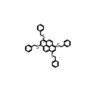 c1ccc(CSc2cc(SCc3ccccc3)c3ccc4c(SCc5ccccc5)cc(SCc5ccccc5)c5ccc2c3c54)cc1